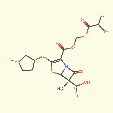 CCC(CC)C(=O)OCOC(=O)C1=C(S[C@H]2CC[SiH](O)C2)SC2N1C(=O)[C@]2(C)[C@@H](C)O